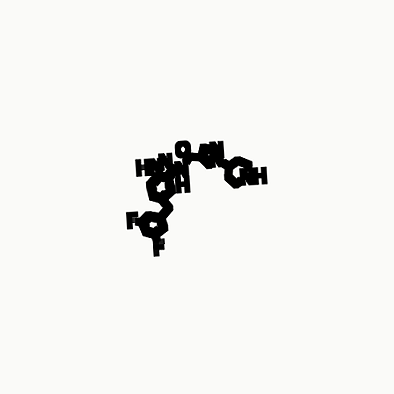 O=C(Nc1n[nH]c2ccc(Cc3cc(F)cc(F)c3)cc12)c1cnn(C2CCNCC2)c1